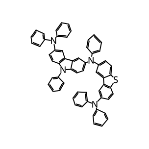 c1ccc(N(c2ccccc2)c2ccc3sc4ccc(N(c5ccccc5)c5ccc6c(c5)c5cc(N(c7ccccc7)c7ccccc7)ccc5n6-c5ccccc5)cc4c3c2)cc1